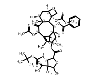 COC(=O)O[C@@]12CO[C@@H]1C[C@H](O)[C@@]1(C)C(=O)[C@H](OC(C)=O)C3=C(C)[C@](C)(OC(=O)C4OC(O)C(C)(C(=O)O)[C@@H]4NC(=O)OC(C)(C)C)C[C@@](O)([C@@H](OC(=O)c4ccccc4)C12)C3(C)C